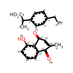 CC(C)Cc1ccc(C(C)C(=O)O)cc1.CC1=CC(=O)c2c(O)cccc2C1=O